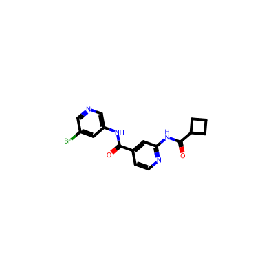 O=C(Nc1cncc(Br)c1)c1ccnc(NC(=O)C2CCC2)c1